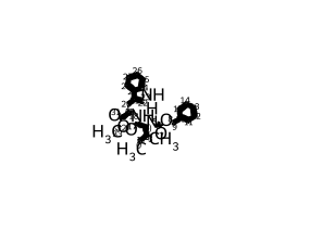 CC[C@H](C)[C@H](NC(=O)OCc1ccccc1)C(=O)N[C@@H](Cc1c[nH]c2ccccc12)C(=O)OC